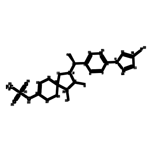 CC1N([C@@H](C)c2ccc(-n3cc(F)cn3)nc2)CC2(CC=C(OS(=O)(=O)C(F)(F)F)CC2)N1C